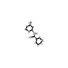 O=C(Nc1cc(Br)ccn1)c1cccnc1